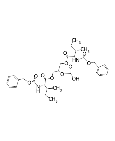 CC[C@H](C)[C@H](NC(=O)OCc1ccccc1)C(=O)OCC(COC(=O)[C@@H](NC(=O)OCc1ccccc1)[C@@H](C)CC)OC(=O)O